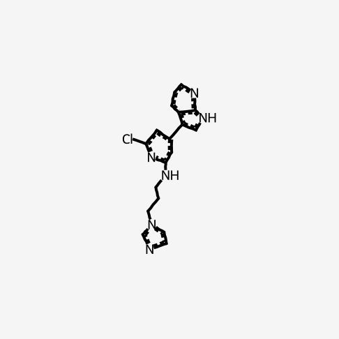 Clc1cc(-c2c[nH]c3ncccc23)cc(NCCCn2ccnc2)n1